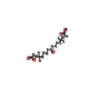 CC(C)(CCCC[S+]([O-])CCCCC(C)(C)C1CC(=O)O1)C1CC(=O)O1